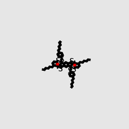 CCCCCCc1ccc(SC(Sc2ccc(CCCCCC)cc2)=C2c3cc4c(cc3-c3sccc32)C(=C(Sc2ccc(CCCCCC)cc2)Sc2ccc(CCCCCC)cc2)c2ccsc2-4)cc1